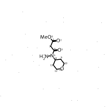 COC(=O)CC(=O)N(N)C1CCOCC1